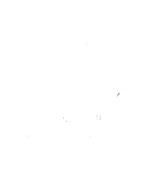 CC(C)c1ccc(O[C@H]2CCN(C(O)CN3CCC(C(C)C)CC3)C2)cc1